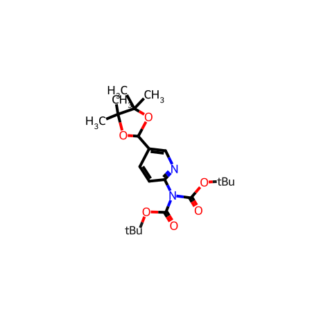 CC(C)(C)OC(=O)N(C(=O)OC(C)(C)C)c1ccc(C2OC(C)(C)C(C)(C)O2)cn1